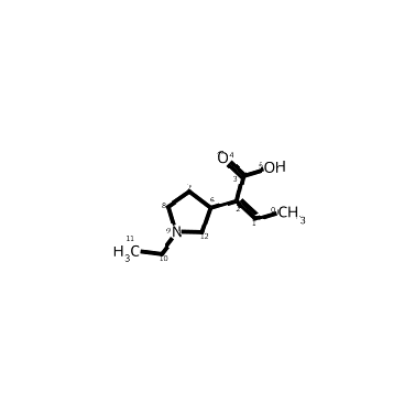 CC=C(C(=O)O)C1CCN(CC)C1